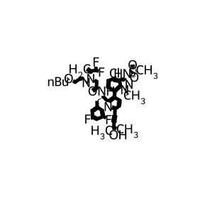 C=C(C(F)F)N(CC(=O)N[C@@H](Cc1cc(F)cc(F)c1)c1nc(C#CC(C)(C)O)ccc1-c1ccc(Cl)c2c(NS(C)(=O)=O)nn(C)c12)/N=C/COCCCC